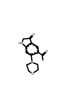 CC(=O)c1cc2c(cc1N1CCOCC1)NCC2=O